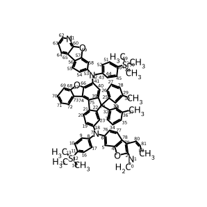 C=Nc1oc2cc(N(c3ccc([Si](C)(C)C)cc3)c3ccc4c(c3)C(c3cccc(C)c3)(c3cccc(C)c3)c3cc(N(c5ccc([Si](C)(C)C)cc5)c5ccc6c(c5)oc5ncccc56)c5oc6ccccc6c5c3-4)ccc2c1/C=C\C